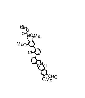 COc1cc(Cn2ncc3c(-c4cccc(-c5cc(F)c(CN(OC)C(=O)OC(C)(C)C)c(OC)c5)c4Cl)cccc32)c(Cl)cc1C=O